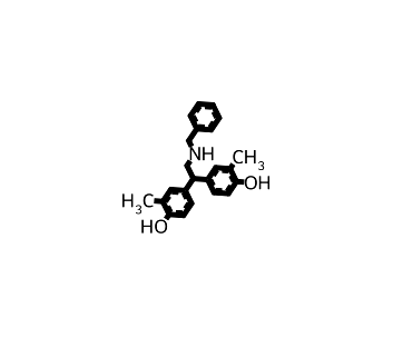 Cc1cc(C(CNCc2ccccc2)c2ccc(O)c(C)c2)ccc1O